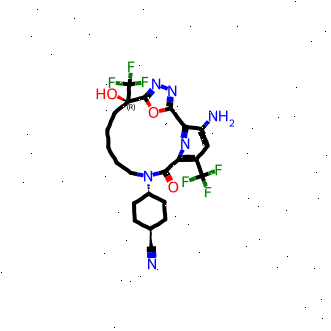 N#C[C@H]1CC[C@H](N2CCCCC[C@](O)(C(F)(F)F)c3nnc(o3)-c3nc(c(C(F)(F)F)cc3N)C2=O)CC1